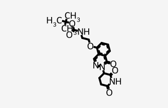 CC(C)(C)OC(=O)NCCOc1cccc2c(=O)n(C3CCC(=O)NC3=O)ncc12